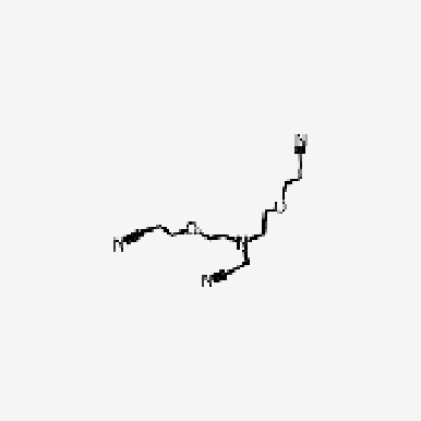 N#CCCOCCN(CC#N)CCOCCC#N